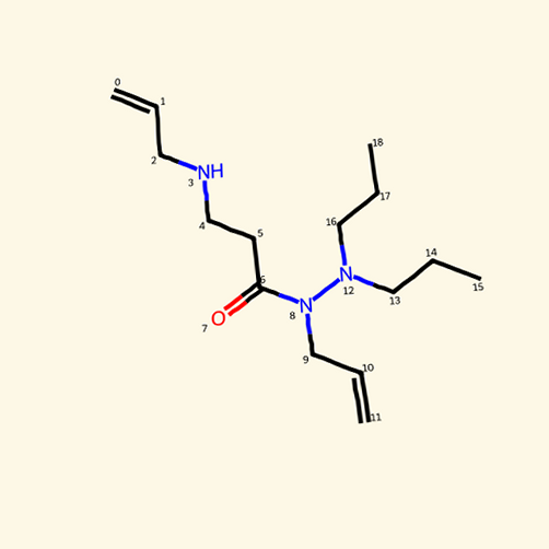 C=CCNCCC(=O)N(CC=C)N(CCC)CCC